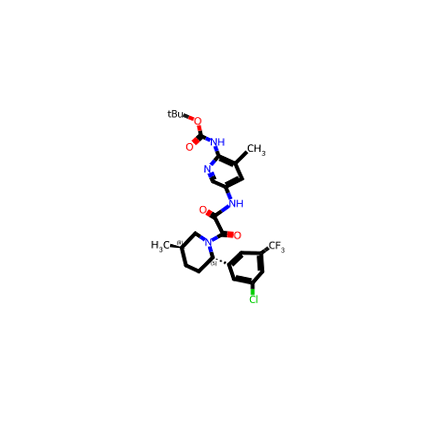 Cc1cc(NC(=O)C(=O)N2C[C@H](C)CC[C@H]2c2cc(Cl)cc(C(F)(F)F)c2)cnc1NC(=O)OC(C)(C)C